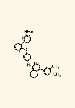 CNc1nccc(-c2cccnc2Oc2ccc(Nc3nnc(-c4ccc(C)c(C)c4)c4c3CCCC4)cc2)n1